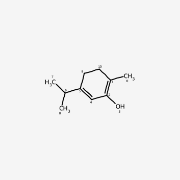 CC1=C(O)C=C(C(C)C)CC1